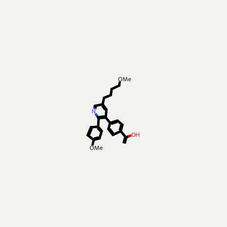 C=C(O)c1ccc(-c2cc(CCCCOC)cnc2-c2ccc(OC)cc2)cc1